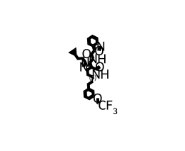 O=C1N[C@@H](CCc2cccc(OCC(F)(F)F)c2)Cc2nn(CCC3CC3)c(NC(=O)c3onc4ccccc34)c21